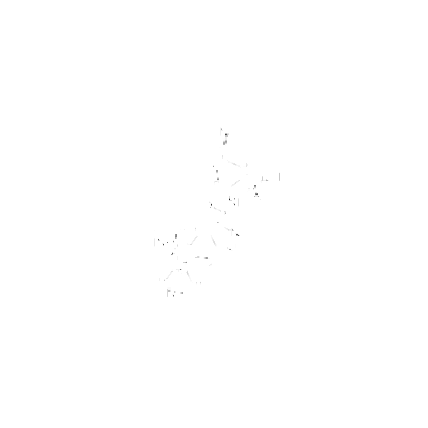 CNS(=O)(=O)c1cc2c(C(=O)Nc3ccc(C#N)cc3C(=O)O)noc2cc1-c1ccncc1